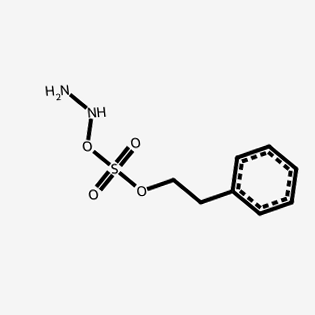 NNOS(=O)(=O)OCCc1ccccc1